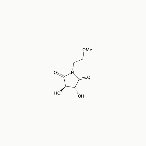 COCCN1C(=O)[C@H](O)[C@@H](O)C1=O